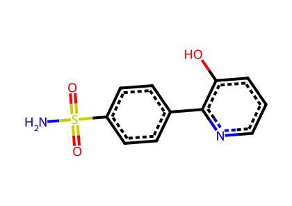 NS(=O)(=O)c1ccc(-c2ncccc2O)cc1